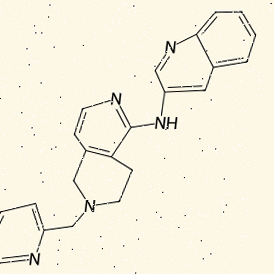 c1ccc(CN2CCc3c(ccnc3Nc3cnc4ccccc4c3)C2)nc1